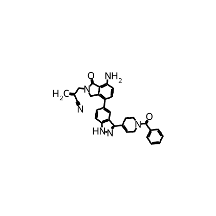 C=C(C#N)CN1Cc2c(-c3ccc4[nH]nc(C5=CCN(C(=O)c6ccccc6)CC5)c4c3)ccc(N)c2C1=O